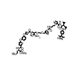 COC(=O)[C@H](CCC(C)(C)C)NC(=O)c1ccc(Oc2cccc(OC3CN(C(=O)NCC(COCCOCc4cn(CC(=O)NCCCn5nccc5C(=O)N[C@H](C(=O)Nc5ccc(-c6c(C)n[nH]c6C)cc5)C(C5CC5)C5CC5)nn4)C(N)=O)C3)c2)nc1